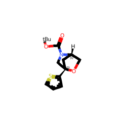 CC(C)(C)OC(=O)N1C[C@]2(c3cccs3)C[C@H]1CO2